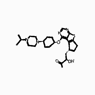 CC(=O)[C@H](O)C[C@H]1CCc2sc3ncnc(O[C@H]4CC[C@H](N5CCN(C(C)C)CC5)CC4)c3c21